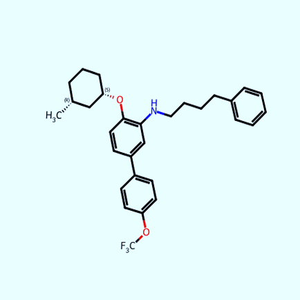 C[C@@H]1CCC[C@H](Oc2ccc(-c3ccc(OC(F)(F)F)cc3)cc2NCCCCc2ccccc2)C1